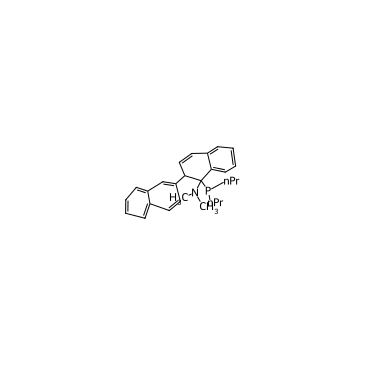 CCCP(CCC)C1(N(C)C)c2ccccc2C=CC1c1ccc2ccccc2c1